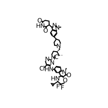 C[C@@H]1CN(c2ncc(Cl)c(Nc3ccc4c(c3)c3c(c(=O)n4C)OCC(F)(F)C(C4CC4)N3)n2)CC[C@H]1CN1CCC(c2ccc3c(C4CCC(=O)NC4=O)nn(C)c3c2)CC1